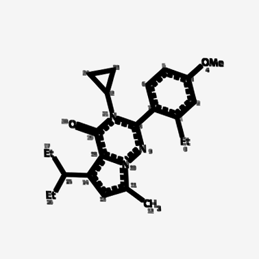 CCc1cc(OC)ccc1-c1nn2c(C)cc(C(CC)CC)c2c(=O)n1C1CC1